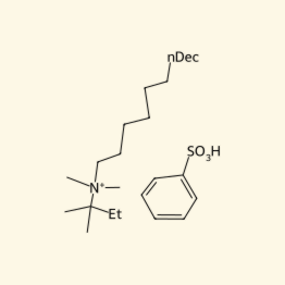 CCCCCCCCCCCCCCCC[N+](C)(C)C(C)(C)CC.O=S(=O)(O)c1ccccc1